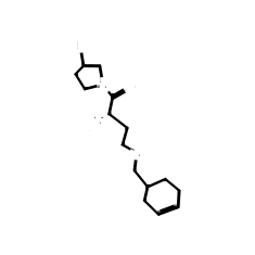 N[C@@H](CCNCC1CC=CCC1)C(=O)N1CCC(F)C1